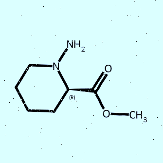 COC(=O)[C@H]1CCCCN1N